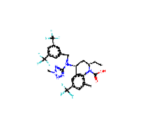 CC[C@@H]1C[C@H](N(Cc2cc(C(F)(F)F)cc(C(F)(F)F)c2)c2nnn(C)n2)c2cc(C(F)(F)F)cc(C)c2N1C(=O)O